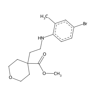 COC(=O)C1(CCNc2ccc(Br)cc2C)CCOCC1